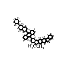 CC1(C)C2=CC=C(c3c4ccccc4c(C4=CC=C5C=C(C6=CC=CCC6)CCC5C4)c4ccccc34)CC2c2cc3cc4c(cc3cc21)sc1ccccc14